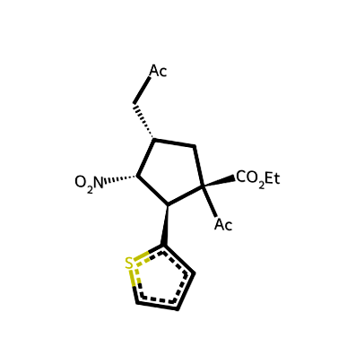 CCOC(=O)[C@]1(C(C)=O)C[C@@H](CC(C)=O)[C@@H]([N+](=O)[O-])[C@@H]1c1cccs1